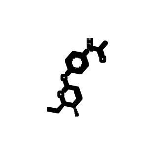 CC[C@H]1OC(Oc2ccc(NC(C)=O)cc2)C=C[C@@H]1C